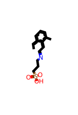 C/C=c1/cccc(C)/c1=C/C=N/CCCS(=O)(=O)O